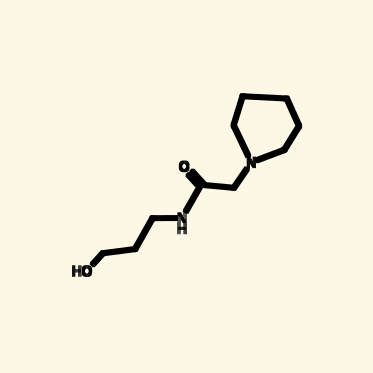 O=C(CN1CCCCC1)NCCCO